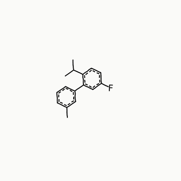 Cc1cccc(-c2cc(F)ccc2C(C)C)c1